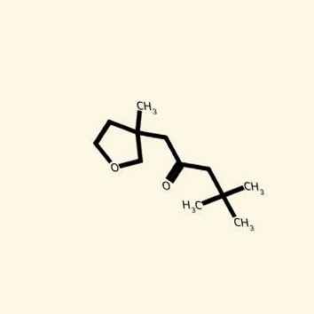 CC(C)(C)CC(=O)CC1(C)CCOC1